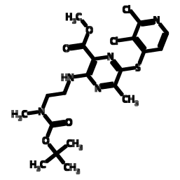 COC(=O)c1nc(Sc2ccnc(Cl)c2Cl)c(C)nc1NCCN(C)C(=O)OC(C)(C)C